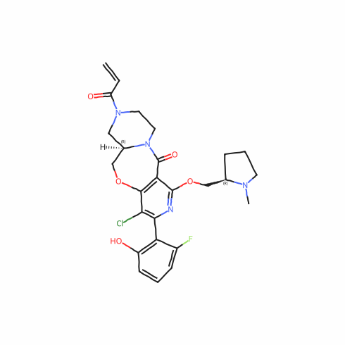 C=CC(=O)N1CCN2C(=O)c3c(OC[C@H]4CCCN4C)nc(-c4c(O)cccc4F)c(Cl)c3OC[C@H]2C1